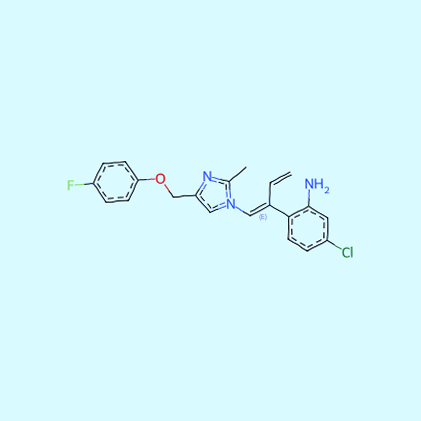 C=C/C(=C\n1cc(COc2ccc(F)cc2)nc1C)c1ccc(Cl)cc1N